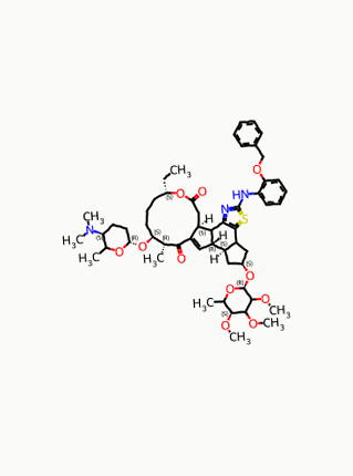 CC[C@H]1CCC[C@H](O[C@H]2CC[C@H](N(C)C)C(C)O2)[C@@H](C)C(=O)C2=C[C@@H]3C(c4nc(Nc5ccccc5OCc5ccccc5)sc4C4C[C@@H](O[C@@H]5OC(C)[C@H](OC)C(OC)C5OC)C[C@H]43)[C@@H]2CC(=O)O1